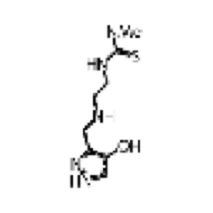 CNC(=S)NCCNCc1n[nH]cc1O